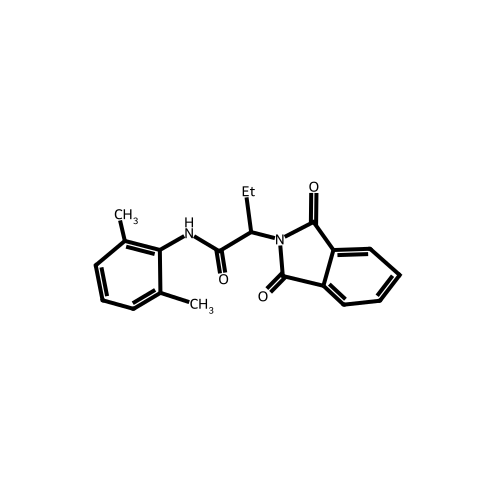 CCC(C(=O)Nc1c(C)cccc1C)N1C(=O)c2ccccc2C1=O